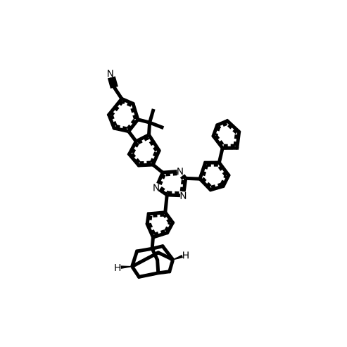 CC1(C)c2cc(C#N)ccc2-c2ccc(-c3nc(-c4ccc(C56CC7C[C@H](C5)C[C@@H](C7)C6)cc4)nc(-c4cccc(-c5ccccc5)c4)n3)cc21